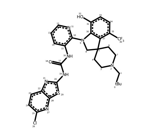 CC(C)(C)CN1CCC2(CC1)CN(c1ncccc1NC(=O)Nc1nc3ccc(Cl)nc3s1)c1c(O)ccc(C(F)(F)F)c12